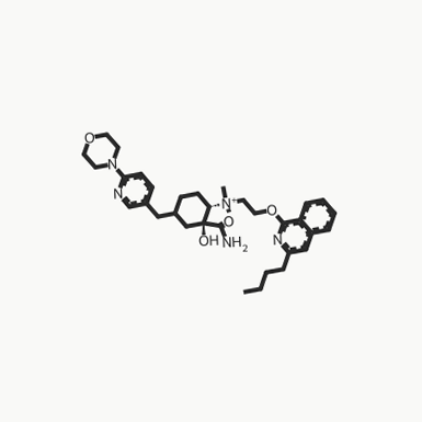 CCCCc1cc2ccccc2c(OCC[N+](C)(C)[C@H]2CCC(Cc3ccc(N4CCOCC4)nc3)C[C@@]2(O)C(N)=O)n1